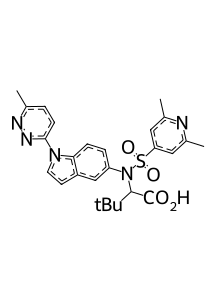 Cc1ccc(-n2ccc3cc(N(C(C(=O)O)C(C)(C)C)S(=O)(=O)c4cc(C)nc(C)c4)ccc32)nn1